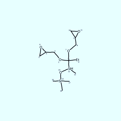 CCC(OCC1CO1)(OCC1CO1)[SiH](C)O[Si](C)(C)C